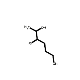 CC(O)C(S)CCCO